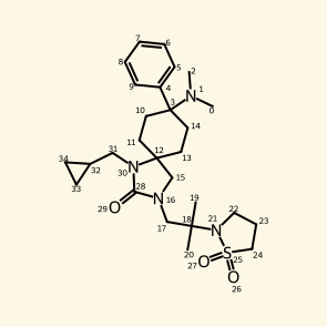 CN(C)C1(c2ccccc2)CCC2(CC1)CN(CC(C)(C)N1CCCS1(=O)=O)C(=O)N2CC1CC1